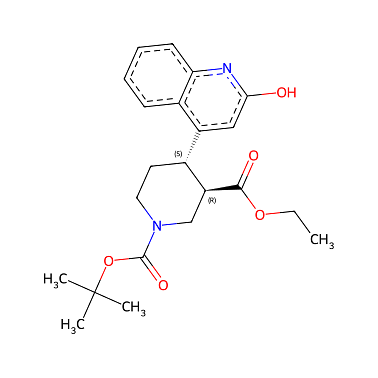 CCOC(=O)[C@H]1CN(C(=O)OC(C)(C)C)CC[C@@H]1c1cc(O)nc2ccccc12